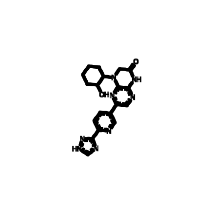 O=C1CN(C2CCCCC2O)c2nc(-c3ccc(-c4nc[nH]n4)nc3)cnc2N1